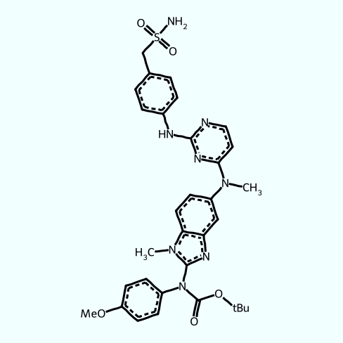 COc1ccc(N(C(=O)OC(C)(C)C)c2nc3cc(N(C)c4ccnc(Nc5ccc(CS(N)(=O)=O)cc5)n4)ccc3n2C)cc1